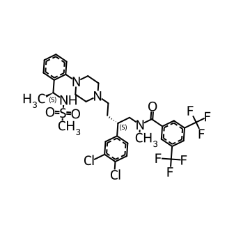 C[C@H](NS(C)(=O)=O)c1ccccc1N1CCN(CC[C@H](CN(C)C(=O)c2cc(C(F)(F)F)cc(C(F)(F)F)c2)c2ccc(Cl)c(Cl)c2)CC1